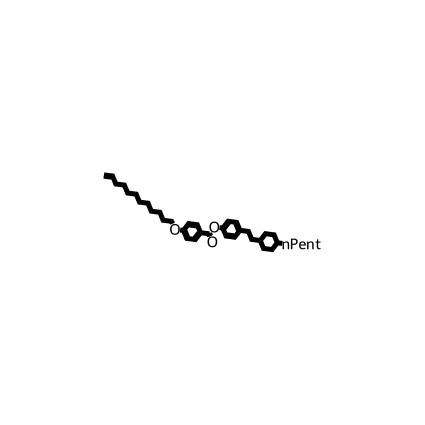 C=CCCCCCCCCCCOc1ccc(C(=O)Oc2ccc(CCC3CCC(CCCCC)CC3)cc2)cc1